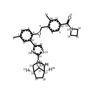 Cc1ccc(OCc2ccc(C(=O)N3CCC3)cc2C)c(-c2csc(N3C[C@H]4CC[C@@H](C3)C4C(=O)O)n2)c1